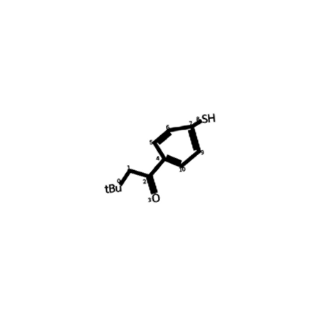 CC(C)(C)CC(=O)c1ccc(S)cc1